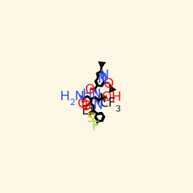 CCOc1c(CC(N)=O)cc([C@@](O)(CNC(=O)c2cc(OC3CC3)n3nc(C4CC4)cc3c2)C(F)(F)F)nc1-c1csc2c(F)cccc12